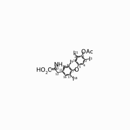 CC(=O)Oc1c(I)cc(Oc2c(I)cc(C[C@H](N)C(=O)O)cc2I)cc1I